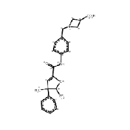 CC1(c2ccccc2)C=C(C(=O)Nc2ccc(CN3CC(C(=O)O)C3)cc2)SC1C(F)(F)F